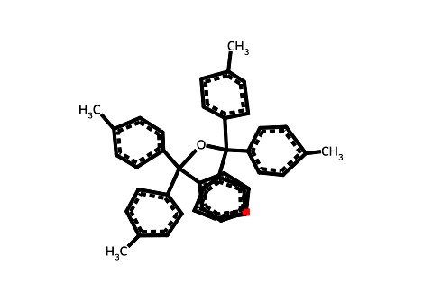 Cc1ccc(C(OC(c2ccccc2)(c2ccc(C)cc2)c2ccc(C)cc2)(c2ccccc2)c2ccc(C)cc2)cc1